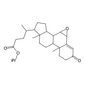 CC(C)OC(=O)CCC(C)C1CCC2C3C4OC4C4=CC(=O)CCC4(C)C3CCC12C